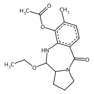 CCOC1Nc2c(ccc(C)c2OC(C)=O)C(=O)N2CCCC12